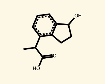 CC(C(=O)O)c1cccc2c1CCC2O